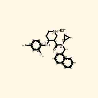 Cl.O=C(C1CNCCC1Nc1ccc(F)cc1F)N(Cc1cccc2ccccc12)C1CC1